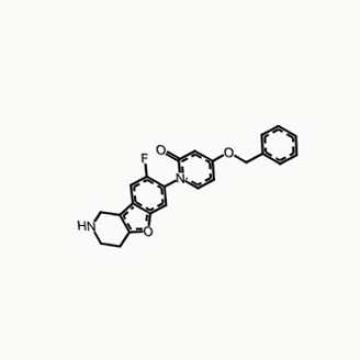 O=c1cc(OCc2ccccc2)ccn1-c1cc2oc3c(c2cc1F)CNCC3